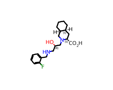 O=C(O)[C@@H]1C[C@@H]2CCCC[C@@H]2CN1C[C@H](O)CNCc1ccccc1F